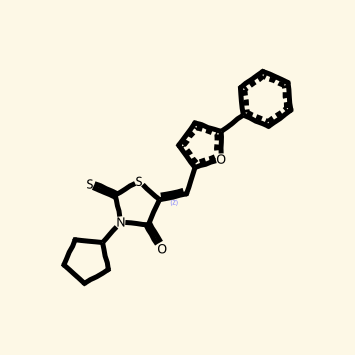 O=C1/C(=C/c2ccc(-c3ccccc3)o2)SC(=S)N1C1CCCC1